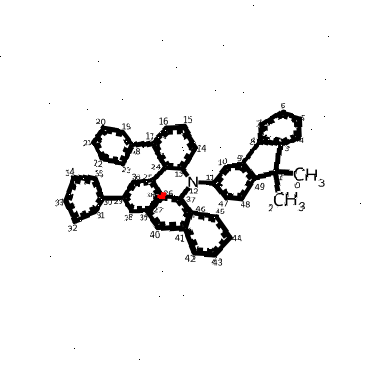 CC1(C)c2ccccc2-c2cc(N(c3cccc(-c4ccccc4)c3-c3cccc(-c4ccccc4)c3)c3cccc4ccccc34)ccc21